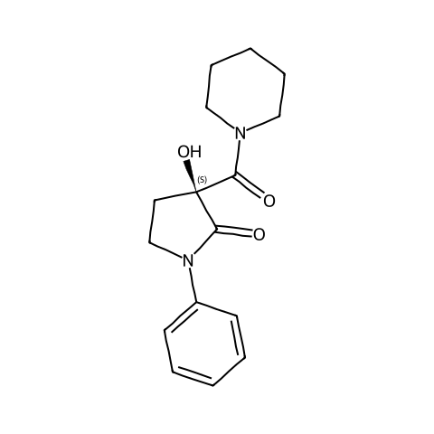 O=C(N1CCCCC1)[C@@]1(O)CCN(c2ccccc2)C1=O